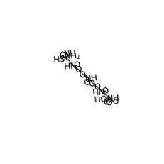 NN[C@@H](CCCCNC(=O)COCCOCCNC(=O)COCCOCCNC(=O)CC[C@H](NC(=O)C1CCCCC1)C(=O)O)C(=O)S